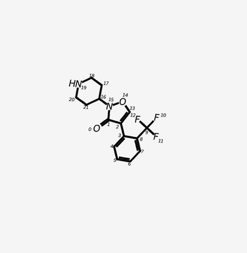 O=c1c(-c2ccccc2C(F)(F)F)con1C1CCNCC1